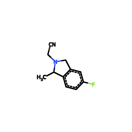 CC1c2ccc(F)cc2CN1CC#N